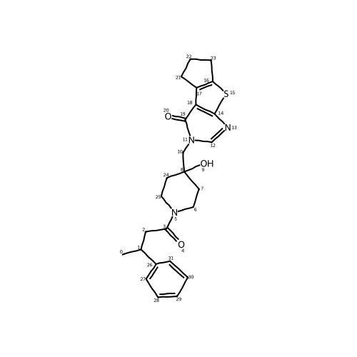 CC(CC(=O)N1CCC(O)(Cn2cnc3sc4c(c3c2=O)CCC4)CC1)c1ccccc1